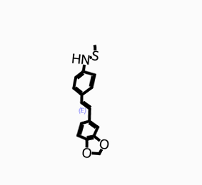 CSNc1ccc(/C=C/c2ccc3c(c2)OCO3)cc1